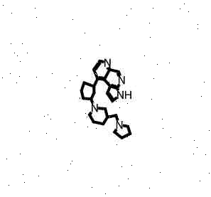 [CH]1CCC(c2ccnc3cnc4[nH]ccc4c23)CC1N1CCCC(CN2CCCC2)C1